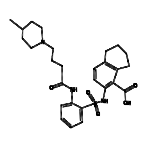 CC1CCN(CCCC(=O)Nc2ccccc2S(=O)(=O)Nc2ccc3c(c2C(=O)O)CCCC3)CC1